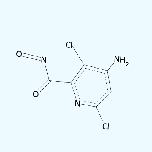 Nc1cc(Cl)nc(C(=O)N=O)c1Cl